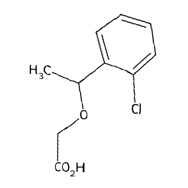 CC(OCC(=O)O)c1ccccc1Cl